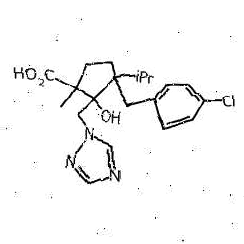 CC(C)C1(Cc2ccc(Cl)cc2)CCC(C)(C(=O)O)C1(O)Cn1cncn1